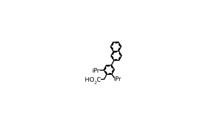 CC(C)c1cc(-c2ccc3ccccc3c2)cc(C(C)C)c1CC(=O)O